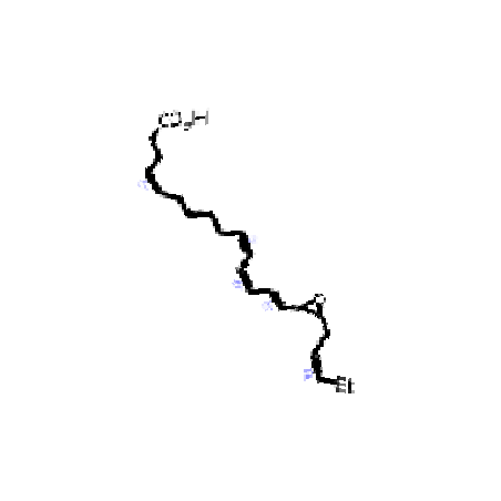 CC/C=C\CC1OC1/C=C/C=C\C=C/CCCC/C=C\CCC(=O)O